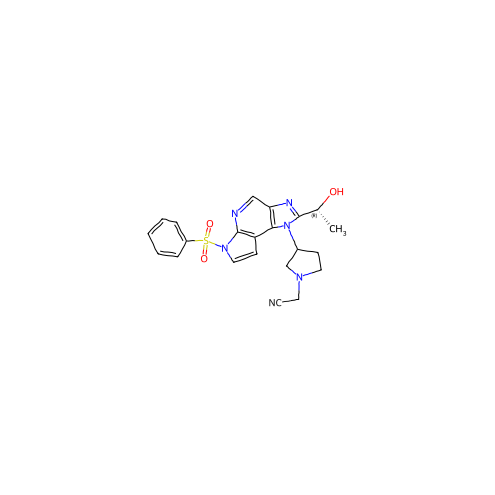 C[C@@H](O)c1nc2cnc3c(ccn3S(=O)(=O)c3ccccc3)c2n1C1CCN(CC#N)C1